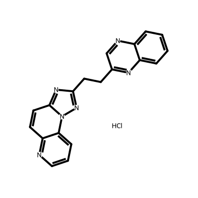 Cl.c1ccc2nc(CCc3nc4ccc5ncccc5n4n3)cnc2c1